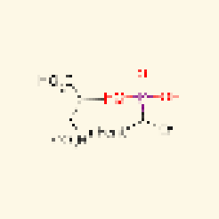 CC(CC(=O)O)C(=O)O.CCCCCC(CC)P(=O)(O)O